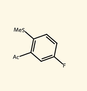 CSc1ccc(F)cc1C(C)=O